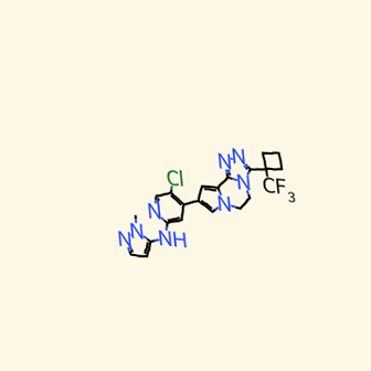 Cn1nccc1Nc1cc(-c2cc3n(c2)CCn2c-3nnc2C2(C(F)(F)F)CCC2)c(Cl)cn1